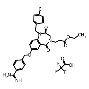 CCOC(=O)CCN1CC(=O)N(Cc2ccc(Cl)cc2)c2ccc(OCc3ccc(C(=N)N)cc3)cc2C1=O.O=C(O)C(F)(F)F